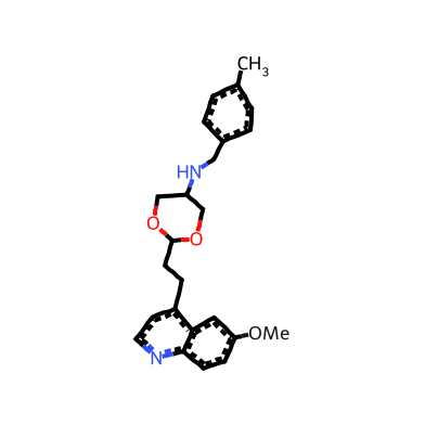 COc1ccc2nccc(CCC3OCC(NCc4ccc(C)cc4)CO3)c2c1